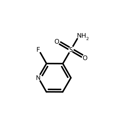 NS(=O)(=O)c1cccnc1F